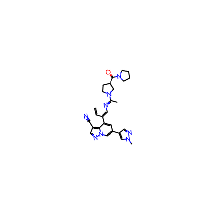 C=C/C(=C\N=C(/C)N1CC[C@@H](C(=O)N2CCCC2)C1)c1cc(-c2cnn(C)c2)cn2ncc(C#N)c12